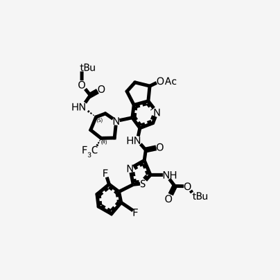 CC(=O)OC1CCc2c1ncc(NC(=O)c1nc(-c3c(F)cccc3F)sc1NC(=O)OC(C)(C)C)c2N1C[C@@H](NC(=O)OC(C)(C)C)C[C@@H](C(F)(F)F)C1